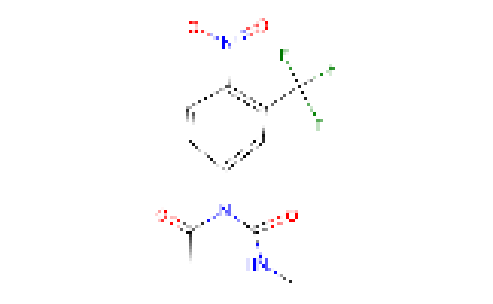 CNC(=O)N(C(C)=O)c1ccc([N+](=O)[O-])c(C(F)(F)F)c1